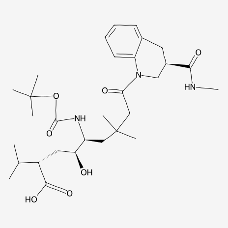 CNC(=O)[C@@H]1Cc2ccccc2N(C(=O)CC(C)(C)C[C@H](NC(=O)OC(C)(C)C)[C@@H](O)C[C@H](C(=O)O)C(C)C)C1